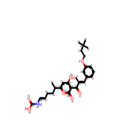 C/C(=C\c1cccc(OCCC(C)(C)C)c1)C(=O)c1c(O)cc(C(C)CC/C=C/NC(=O)O)oc1=O